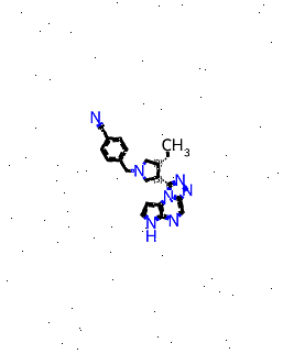 CC[C@H]1CN(Cc2ccc(C#N)cc2)C[C@H]1c1nnc2cnc3[nH]ccc3n12